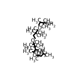 CC(N)CC(C)(C)OC(C)C(C)C(C)(C)C(C)(C)OCCC(C)(C)C(C)(C)OCC(C)C(C)(C)N